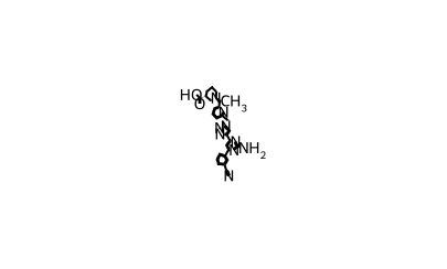 CC(c1cccc(Cn2cc(-c3cc(-c4cccc(C#N)c4)nc(N)n3)nn2)n1)N1CCC[C@@H](C(=O)O)C1